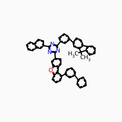 CC1(C)c2ccccc2-c2ccc(-c3cccc(-c4nc(-c5ccc6ccccc6c5)nc(-c5ccc6c(c5)oc5cccc(-c7cccc(-c8ccccc8)c7)c56)n4)c3)cc21